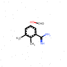 Cc1cccc(C(=N)N)c1C.O=CO